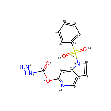 NNC(=O)Oc1cc2c(ccn2S(=O)(=O)c2ccccc2)cn1